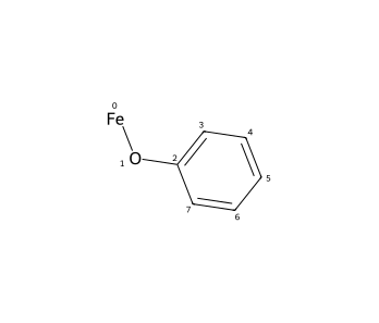 [Fe][O]c1ccccc1